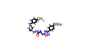 COc1ccc(-c2noc(CCC(=O)NC[C@H]3CCN(Cc4ccc(C)cc4)C3)n2)cc1